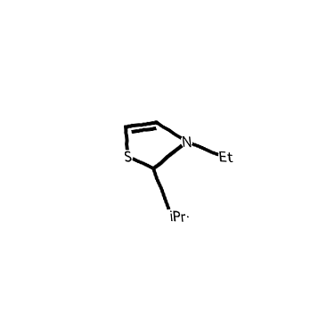 CCN1C=CSC1[C](C)C